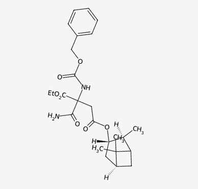 CCOC(=O)C(CC(=O)O[C@H]1C[C@@H]2CC([C@@H]1C)C2(C)C)(NC(=O)OCc1ccccc1)C(N)=O